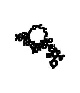 CN(C)C(=O)[C@@H](NC(=O)CNC(=O)C(=O)[C@@H]1CCCCCCCCCC(C)(C)[C@H](NC(=O)OC(C)(C)C)C(=O)N2CC3[C@@H]([C@H]2C(=O)N1)C3(C)C)c1ccccc1